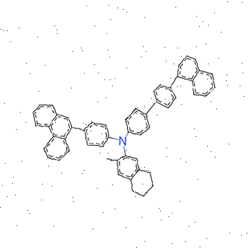 Cc1cc2c(cc1N(c1ccc(-c3ccc(-c4cccc5ccccc45)cc3)cc1)c1ccc(-c3cc4ccccc4c4ccccc34)cc1)CCCC2